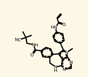 C=CC(=O)Nc1ccc(-c2c3c4c(ncnc4n2C)NCc2cc(C(=O)NCC(C)(C)C#N)ccc2-3)cc1